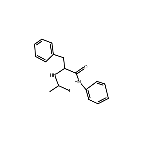 CC(I)NC(Cc1ccccc1)C(=O)Nc1ccccc1